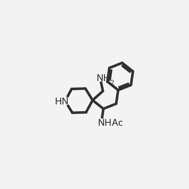 CC(=O)NC(Cc1ccccc1)C1(CN)CCNCC1